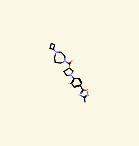 Cc1noc(-c2ccc(N3CC[C@@H](C(=O)N4CCCN(C5CCC5)CC4)C3)c(F)c2)n1